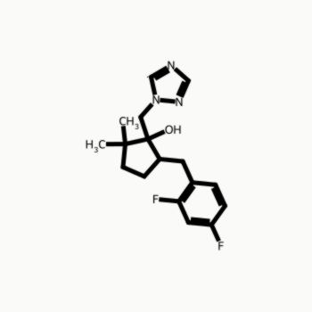 CC1(C)CCC(Cc2ccc(F)cc2F)C1(O)Cn1[c]ncn1